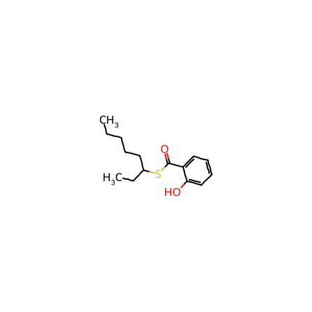 CCCCCC(CC)SC(=O)c1ccccc1O